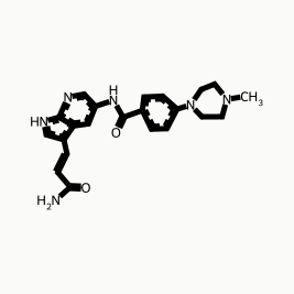 CN1CCN(c2ccc(C(=O)Nc3cnc4[nH]cc(/C=C/C(N)=O)c4c3)cc2)CC1